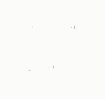 C=CCC1=CC(C)(C)CCC1=O